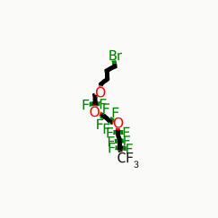 FC(F)(COCCCCBr)OC(F)(F)C(F)(F)OC(F)(F)C(F)(F)C(F)(F)C(F)(F)F